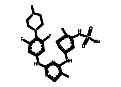 Cc1ccc(Nc2nc(Nc3cc(F)c(N4CCN(C)CC4)c(F)c3)ncc2C)cc1NS(=O)(=O)C(C)(C)C